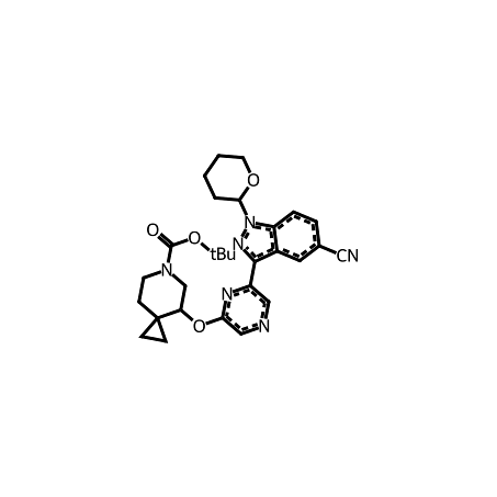 CC(C)(C)OC(=O)N1CCC2(CC2)C(Oc2cncc(-c3nn(C4CCCCO4)c4ccc(C#N)cc34)n2)C1